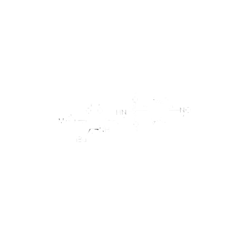 CC[C@H](C)[C@H](NC(=O)CNS(=O)(=O)c1ccc(N=O)cc1)C(=O)OC